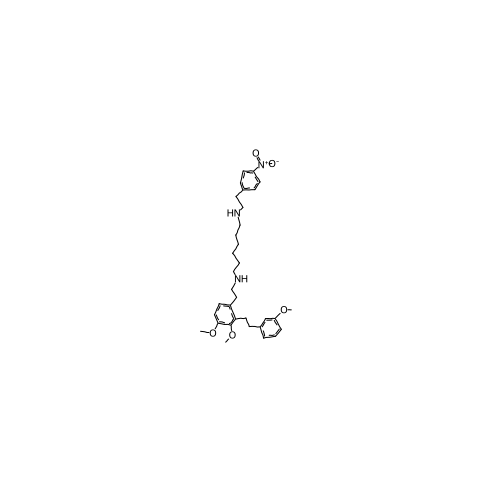 COc1cccc(CCc2c(CCNCCCCCCNCCc3ccc([N+](=O)[O-])cc3)ccc(OC)c2OC)c1